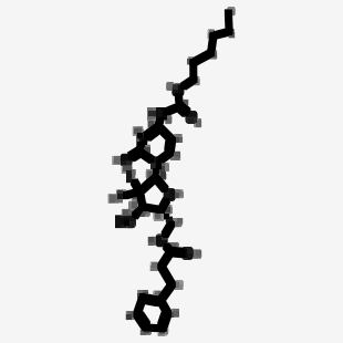 CCCCCCOC(=O)Nc1ccn([C@@H]2O[C@H](COC(=O)CCc3ccccc3)[C@@H](O)C2(F)F)c(=O)n1